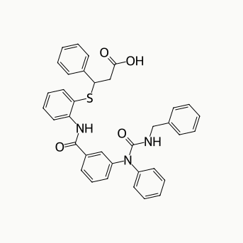 O=C(O)CC(Sc1ccccc1NC(=O)c1cccc(N(C(=O)NCc2ccccc2)c2ccccc2)c1)c1ccccc1